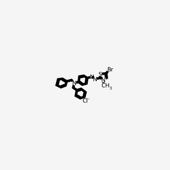 C[n+]1cc(Br)sc1N=Nc1ccc(N(Cc2ccccc2)Cc2ccccc2)cc1.[Cl-]